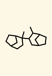 CC1C2CCC(C2)CC1C1(C)CCC2CCC1C2